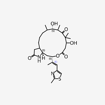 C/C(=C\c1csc(C)n1)[C@@H]1C[C@@H]2NC(=O)CC2CCCC(C)[C@H](O)C(C)C(=O)C(C)(C)C(O)CC(=O)O1